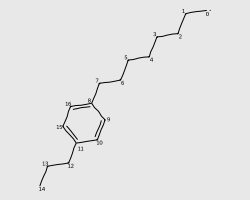 [CH2]CCCCCCCc1ccc(CCC)cc1